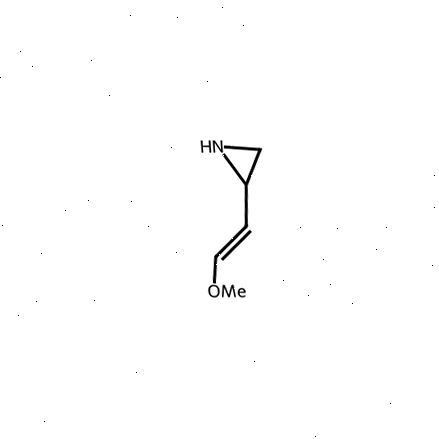 COC=CC1CN1